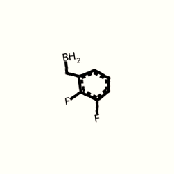 BCc1cccc(F)c1F